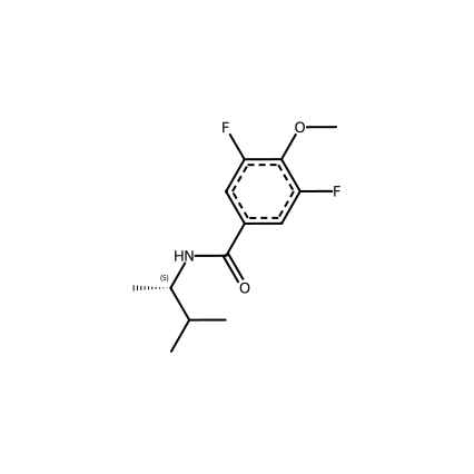 COc1c(F)cc(C(=O)N[C@@H](C)C(C)C)cc1F